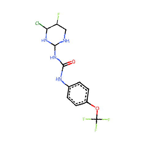 O=C(Nc1ccc(OC(F)(F)F)cc1)NC1NCC(F)C(Cl)N1